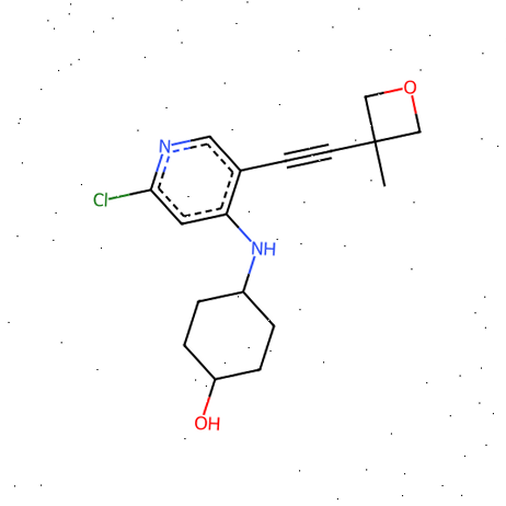 CC1(C#Cc2cnc(Cl)cc2NC2CCC(O)CC2)COC1